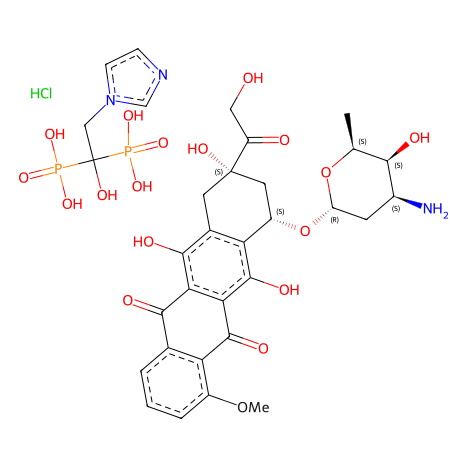 COc1cccc2c1C(=O)c1c(O)c3c(c(O)c1C2=O)C[C@@](O)(C(=O)CO)C[C@@H]3O[C@H]1C[C@H](N)[C@H](O)[C@H](C)O1.Cl.O=P(O)(O)C(O)(Cn1ccnc1)P(=O)(O)O